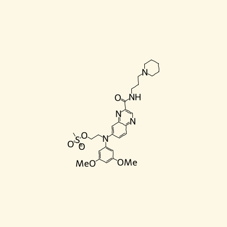 COc1cc(OC)cc(N(CCOS(C)(=O)=O)c2ccc3ncc(C(=O)NCCCN4CCCCC4)nc3c2)c1